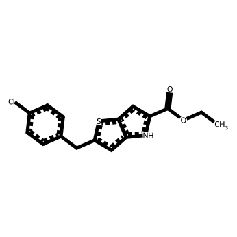 CCOC(=O)c1cc2sc(Cc3ccc(Cl)cc3)cc2[nH]1